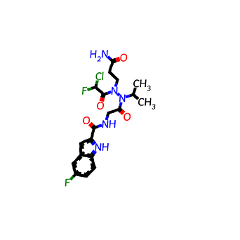 CC(C)N(C(=O)CNC(=O)c1cc2cc(F)ccc2[nH]1)N(CCC(N)=O)C(=O)C(F)Cl